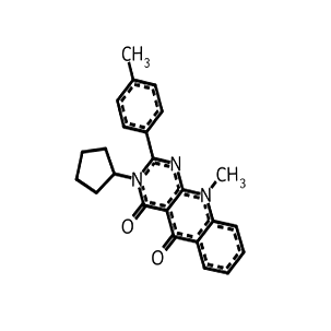 Cc1ccc(-c2nc3c(c(=O)c4ccccc4n3C)c(=O)n2C2CCCC2)cc1